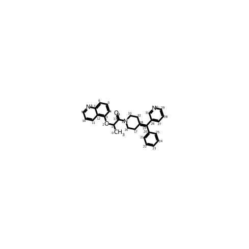 CC(Oc1cccc2ncccc12)C(=O)N1CCC(=C(c2ccccc2)c2cccnc2)CC1